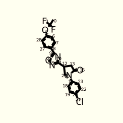 CC(F)(F)Oc1ccc(-c2nc(C3CC(=O)N(c4ccc(Cl)cc4)C3)no2)cc1